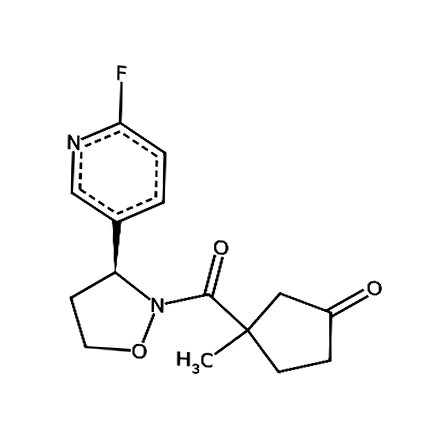 CC1(C(=O)N2OCC[C@H]2c2ccc(F)nc2)CCC(=O)C1